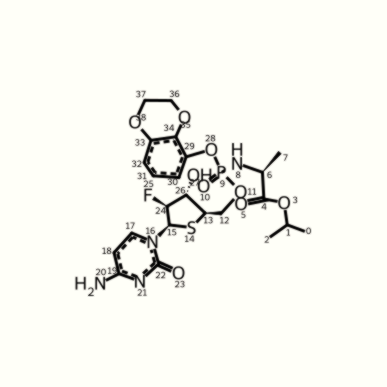 CC(C)OC(=O)[C@H](C)NP(=O)(OC[C@H]1S[C@@H](n2ccc(N)nc2=O)[C@@H](F)[C@@H]1O)Oc1cccc2c1OCCO2